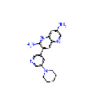 Nc1cnc2cc(-c3cncc(N4CCCCC4)c3)c(N)nc2c1